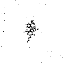 CCCCOC(=O)N1CC(Oc2ccccc2[N+](=O)[O-])(C(=O)OC)C[C@H]1C(=O)OC